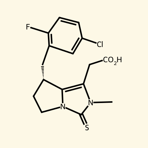 Cn1c(CC(=O)O)c2n(c1=S)CC[C@@H]2Cc1cc(Cl)ccc1F